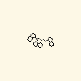 c1ccc2c(CCCCB(c3cccc4ccccc34)c3cccc4ccccc34)cccc2c1